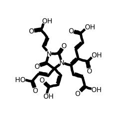 O=C(O)C=CC(C(=O)O)=C(C=CC(=O)O)N1C(=O)N(C=CC(=O)O)C(=O)C1(C=CC(=O)O)C=CC(=O)O